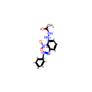 CC(=O)NNc1cccc(N=Nc2ccccc2)c1[N+](=O)[O-]